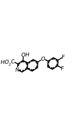 O=C(O)c1ncc2ccc(Oc3ccc(F)c(F)c3)cc2c1O